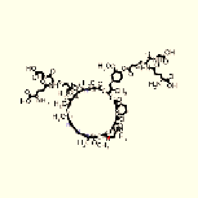 CO[C@H]1C[C@@H]2CC[C@@H](C)[C@@](O)(O2)C(=O)C(=O)N2CCCC[C@H]2C(=O)OC([C@H](C)C[C@@H]2CC[C@@H](OC(=O)CSC[C@H](NC(=O)CC[C@H](N)C(=O)O)C(=O)NCC(=O)O)[C@H](OC)C2)CC(=O)[C@H](C)/C=C(\C)[C@@H](OC(=O)CSC[C@H](NC(=O)CC[C@H](N)C(=O)O)C(=O)NCC(=O)O)[C@@H](OC)C(=O)[C@H](C)C[C@@H](C)\C=C/C=C/C=C/1C